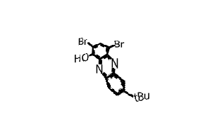 CC(C)(C)c1ccc2nc3c(O)c(Br)cc(Br)c3nc2c1